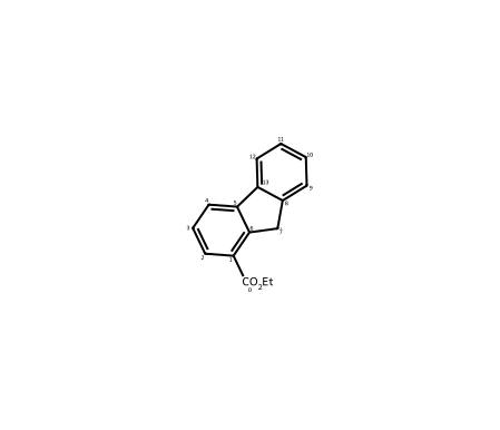 CCOC(=O)c1cccc2c1[CH]c1ccccc1-2